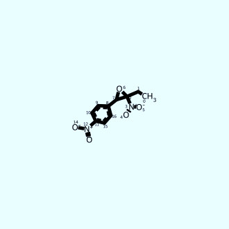 CCC1([N+](=O)[O-])OC1c1ccc([N+](=O)[O-])cc1